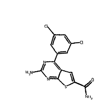 NC(=O)c1cc2c(-c3cc(Cl)cc(Cl)c3)nc(N)nc2s1